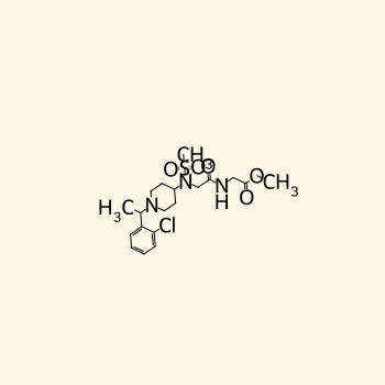 COC(=O)CNC(=O)CN(C1CCN(C(C)c2ccccc2Cl)CC1)S(C)(=O)=O